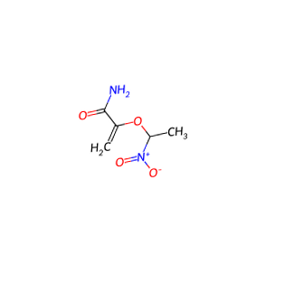 C=C(OC(C)[N+](=O)[O-])C(N)=O